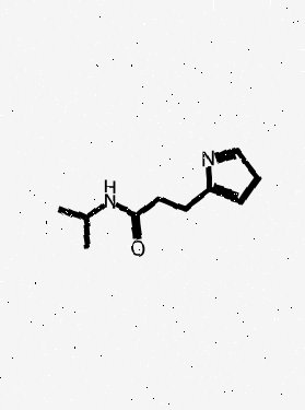 CC(C)NC(=O)CCC1=CCC=N1